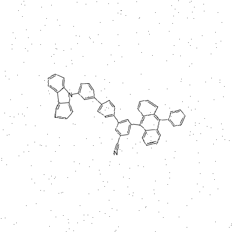 N#Cc1cc(-c2ccc(-c3cccc(-n4c5ccccc5c5ccccc54)c3)cc2)cc(-c2c3ccccc3c(-c3ccccc3)c3ccccc23)c1